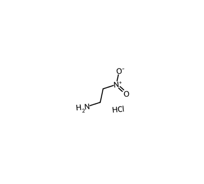 Cl.NCC[N+](=O)[O-]